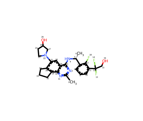 Cc1nc(N[C@H](C)c2cccc(C(F)(F)CO)c2F)c2cc(N3CCC(O)C3)c3c(c2n1)CCC3